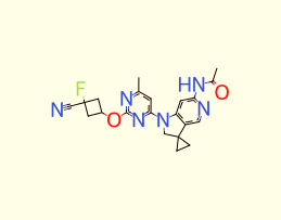 CC(=O)Nc1cc2c(cn1)C1(CC1)CN2c1cc(C)nc(OC2CC(F)(C#N)C2)n1